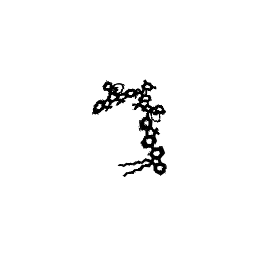 CCCCCCCC1(CCCCCCC)c2ccccc2-c2ccc(-c3ccc4c(c3)C(C)(C)c3cc(-c5cc6c(c7c5oc5ccccc57)-c5ccc(N(c7cc(C)cc(C)c7)c7ccc8c(c7)C(C)(C)c7c9c(c%10c(oc%11ccccc%11%10)c7-8)-c7ccccc7C9(C)C)cc5C6(C)C)ccc3-4)cc21